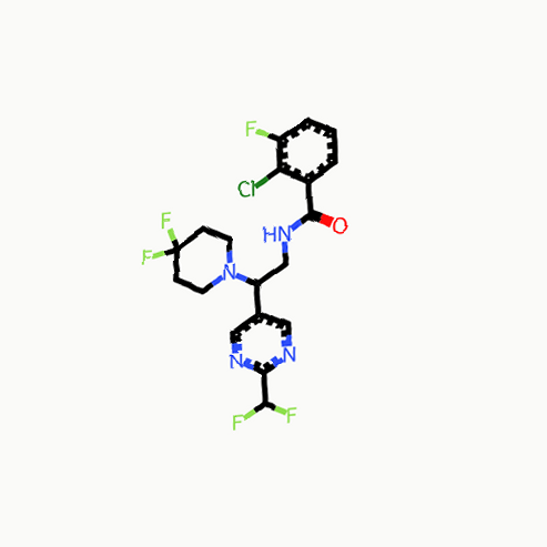 O=C(NCC(c1cnc(C(F)F)nc1)N1CCC(F)(F)CC1)c1cccc(F)c1Cl